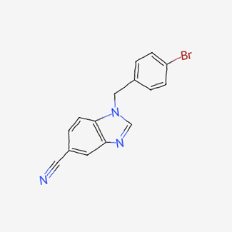 N#Cc1ccc2c(c1)ncn2Cc1ccc(Br)cc1